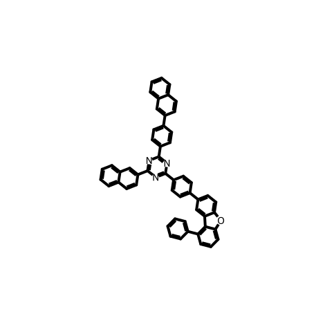 c1ccc(-c2cccc3oc4ccc(-c5ccc(-c6nc(-c7ccc(-c8ccc9ccccc9c8)cc7)nc(-c7ccc8ccccc8c7)n6)cc5)cc4c23)cc1